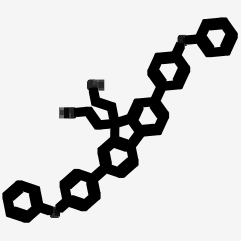 OCCC1(CCO)c2cc(-c3ccc(Oc4ccccc4)cc3)ccc2-c2ccc(-c3ccc(Oc4ccccc4)cc3)cc21